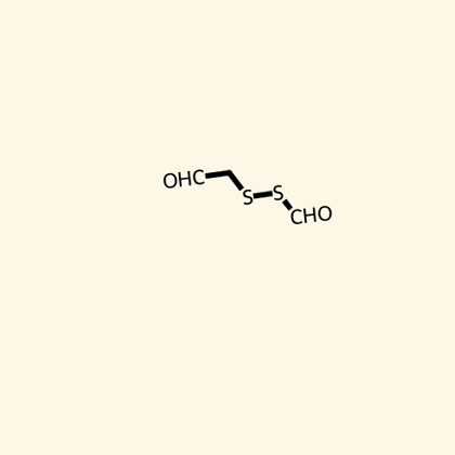 O=CCSSC=O